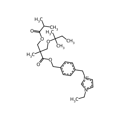 CCn1cc[n+](Cc2ccc(COC(=O)C(C)(COC(=O)C(C)C)COC(C)(C)CC)cc2)c1